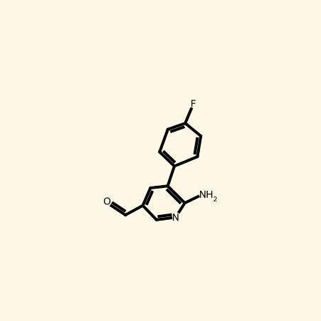 Nc1ncc(C=O)cc1-c1ccc(F)cc1